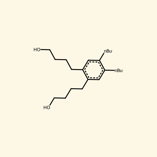 [CH2]CC[CH]c1cc(CCCCO)c(CCCCO)cc1[CH]CC[CH2]